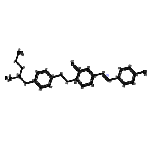 CCCN(C)Cc1ccc(CCn2ccc(/C=C/c3ccc(Cl)cc3)cc2=O)cc1